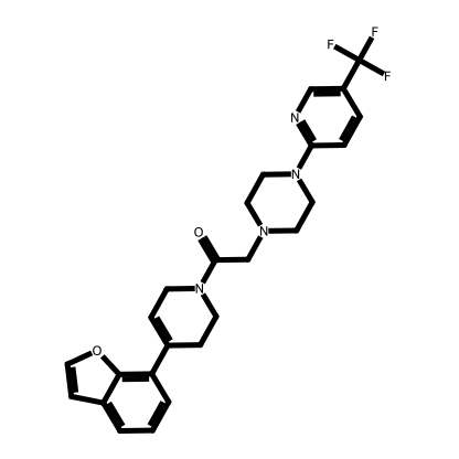 O=C(CN1CCN(c2ccc(C(F)(F)F)cn2)CC1)N1CC=C(c2cccc3ccoc23)CC1